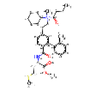 CCCC(=O)[N+](C)(CCc1ccc(C(=O)N[C@@H](CCSC)C(=O)OC)c(-c2ccccc2C)c1)C1CCCCC1